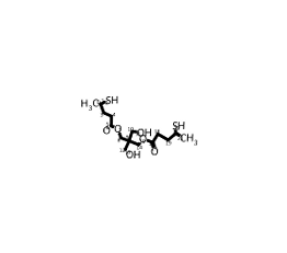 CC(S)CCC(=O)OCC(CO)(CO)COC(=O)CCC(C)S